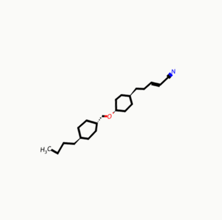 CCCC[C@H]1CC[C@H](CO[C@H]2CC[C@H](CCC=CC#N)CC2)CC1